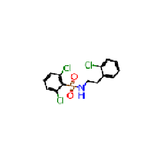 O=S(=O)(NCCc1ccccc1Cl)c1c(Cl)cccc1Cl